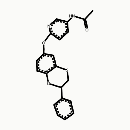 CC(=O)Nc1ccc(Oc2ccc3c(c2)SCC(c2ccccc2)O3)nc1